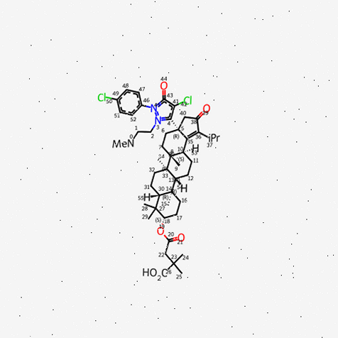 CNCCn1c([C@@]23CC[C@]4(C)[C@H](CC[C@@H]5[C@@]6(C)CC[C@H](OC(=O)CC(C)(C)C(=O)O)C(C)(C)[C@@H]6CC[C@]54C)C2=C(C(C)C)C(=O)C3)c(Cl)c(=O)n1-c1ccc(Cl)cc1